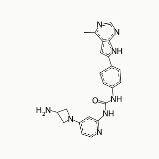 Cc1ncnc2[nH]c(-c3ccc(NC(=O)Nc4cc(N5CC(N)C5)ccn4)cc3)cc12